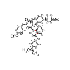 CCOc1ccc(/C=C/C(=O)N(Cc2ccc(N3CCN(C(C)=O)CC3)cc2)[C@@H](Cc2ccccc2)C(=O)N2CCN(Cc3ccc(N(C)C)cc3)CC2)cn1